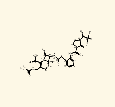 CC(=O)OCC1=C(C(=O)O)N2C(=O)C(NC(=O)Cc3ccccc3NC(=O)N3CCN(C(=O)C(F)(F)F)C3=O)[C@H]2SC1